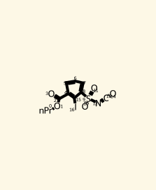 CCCOC(=O)c1cccc(S(=O)(=O)N=C=O)c1I